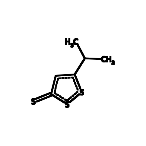 CC(C)c1cc(=S)ss1